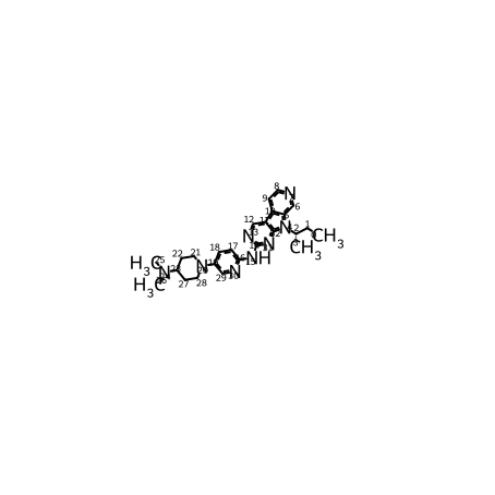 CC[C@H](C)n1c2cnccc2c2cnc(Nc3ccc(N4CCC(N(C)C)CC4)cn3)nc21